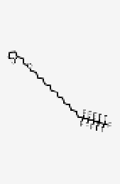 FC(F)(F)C(F)(F)C(F)(F)C(F)(F)C(F)(F)CCCCCCCCCCCCCCCOCCC1CCCO1